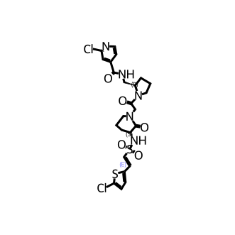 O=C(NC[C@H]1CCCN1C(=O)CN1CCC[C@H](NS(=O)(=O)/C=C/c2ccc(Cl)s2)C1=O)c1ccnc(Cl)c1